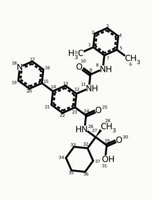 Cc1cccc(C)c1NC(=O)Nc1cc(-c2ccncc2)ccc1C(=O)N[C@](C)(C(=O)O)C1CCCCC1